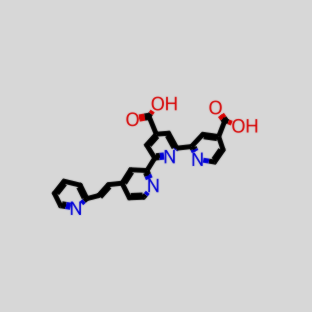 O=C(O)c1ccnc(-c2cc(C(=O)O)cc(-c3cc(/C=C/c4ccccn4)ccn3)n2)c1